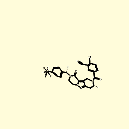 C[C@@H]1Cc2nn3c(c2CN1C(=O)c1ccc(Cl)c(C#N)c1)C(=O)N([C@@H](C)c1ccc(S(F)(F)(F)(F)F)cc1)CC3